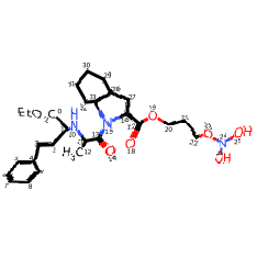 CCOC(=O)C(CCc1ccccc1)NC(C)C(=O)N1C(C(=O)OCCCON(O)O)CC2CCCCC21